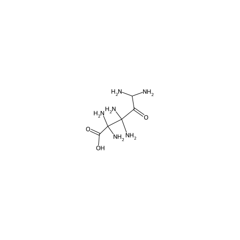 NC(N)C(=O)C(N)(N)C(N)(N)C(=O)O